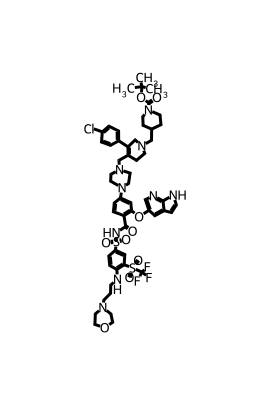 CC(C)(C)OC(=O)N1CCC(CN2CCC(CN3CCN(c4ccc(C(=O)NS(=O)(=O)c5ccc(NCCCN6CCOCC6)c(S(=O)(=O)C(F)(F)F)c5)c(Oc5cnc6[nH]ccc6c5)c4)CC3)=C(c3ccc(Cl)cc3)C2)CC1